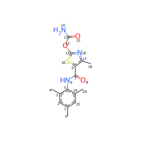 Cc1cc(C)c(NC(=O)c2sc(OC(N)=O)nc2C)c(C)c1